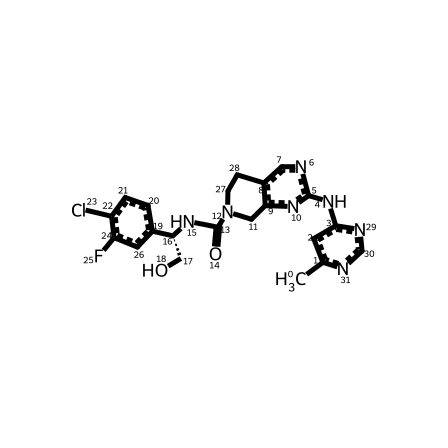 Cc1cc(Nc2ncc3c(n2)CN(C(=O)N[C@H](CO)c2ccc(Cl)c(F)c2)CC3)ncn1